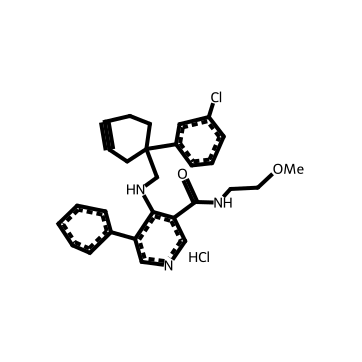 COCCNC(=O)c1cncc(-c2ccccc2)c1NCC1(c2cccc(Cl)c2)CC#CCC1.Cl